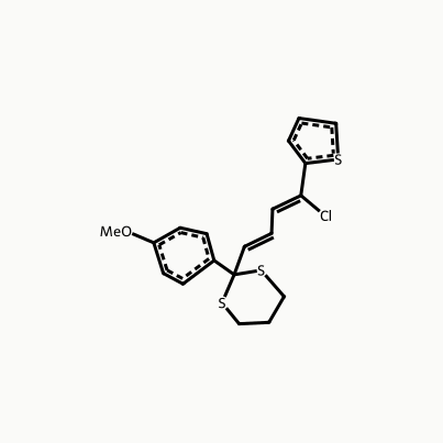 COc1ccc(C2(/C=C/C=C(\Cl)c3cccs3)SCCCS2)cc1